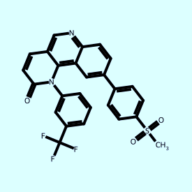 CS(=O)(=O)c1ccc(-c2ccc3ncc4ccc(=O)n(-c5cccc(C(F)(F)F)c5)c4c3c2)cc1